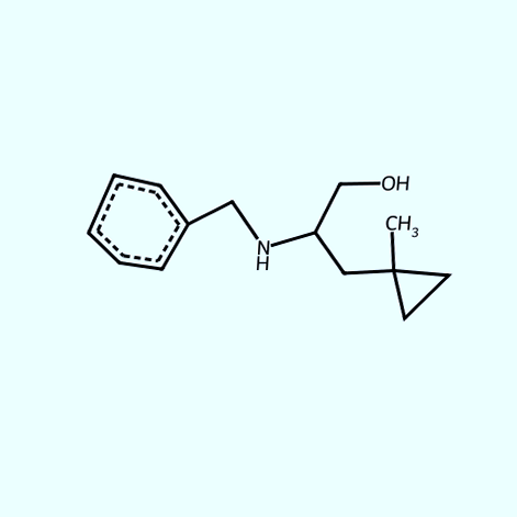 CC1(CC(CO)NCc2ccccc2)CC1